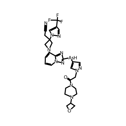 N#CCC1(n2cc(C(F)(F)F)cn2)CN(c2cccn3nc([AsH]c4cnn(CC(=O)N5CCN(C6COC6)CC5)c4)nc23)C1